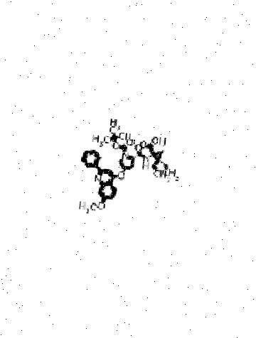 C=C[C@]1(CC)C[C@]1(NC(=O)[C@@H]1C[C@@H](Oc2cc(-c3ccccc3)nc3cc(OC)ccc23)CN1C(=O)OC(C)(C)C)C(=O)O